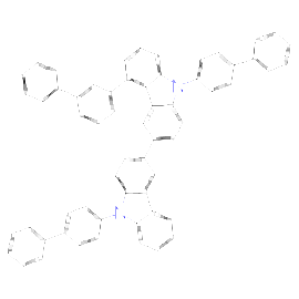 c1ccc(-c2ccc(-n3c4ccccc4c4cc(-c5ccc6c(c5)c5c(-c7cccc(-c8ccccc8)c7)cccc5n6-c5ccc(-c6ccccc6)cc5)ccc43)cc2)cc1